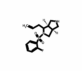 C=CCC1[C@H]2CNC[C@H]2CN1S(=O)(=O)c1ccccc1F